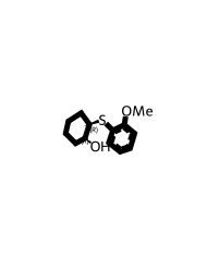 COc1ccccc1S[C@@H]1CCCC[C@H]1O